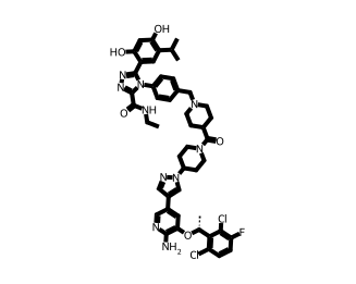 CCNC(=O)c1nnc(-c2cc(C(C)C)c(O)cc2O)n1-c1ccc(CN2CCC(C(=O)N3CCC(n4cc(-c5cnc(N)c(O[C@H](C)c6c(Cl)ccc(F)c6Cl)c5)cn4)CC3)CC2)cc1